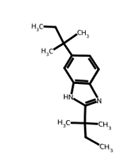 CCC(C)(C)c1ccc2nc(C(C)(C)CC)[nH]c2c1